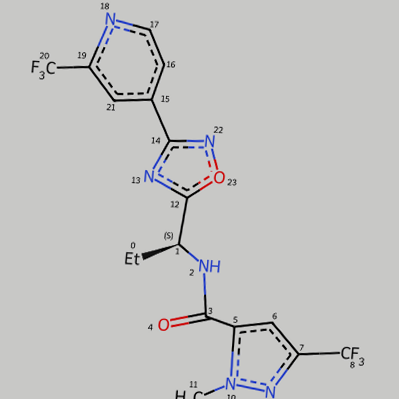 CC[C@H](NC(=O)c1cc(C(F)(F)F)nn1C)c1nc(-c2ccnc(C(F)(F)F)c2)no1